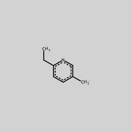 [CH2]c1ccc(CC)nc1